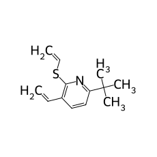 C=CSc1nc(C(C)(C)C)ccc1C=C